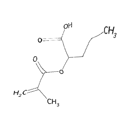 C=C(C)C(=O)OC(CCC)C(=O)O